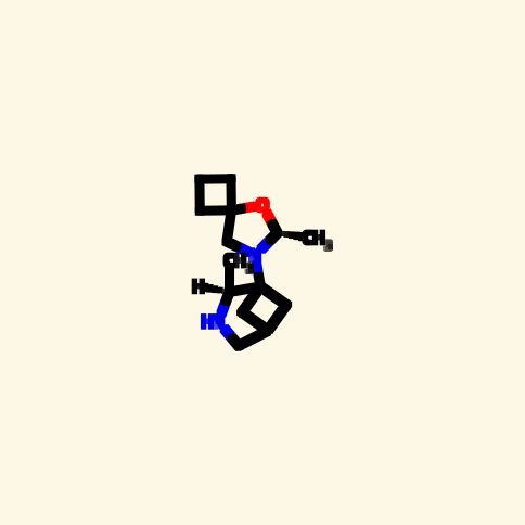 C[C@@H]1NCC2CC1(N1CC3(CCC3)O[C@@H]1C)C2